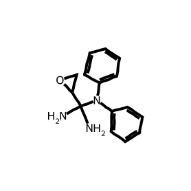 NC(N)(C1CO1)N(c1ccccc1)c1ccccc1